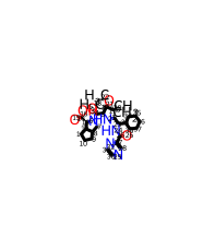 C=C(N[C@H](C(=O)N1CC2CCCC2[C@H]1C(=O)O)C(C)(CC)OC)C(NC(=O)c1cnccn1)C1CCCCC1